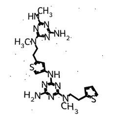 CNc1nc(N)nc(N(C)CCc2cc(Nc3nc(N)nc(N(C)CCc4cccs4)n3)cs2)n1